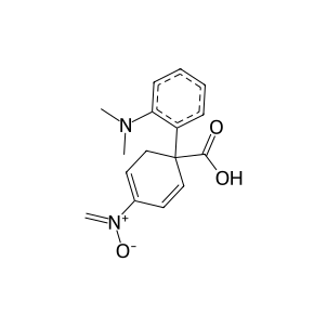 C=[N+]([O-])C1=CCC(C(=O)O)(c2ccccc2N(C)C)C=C1